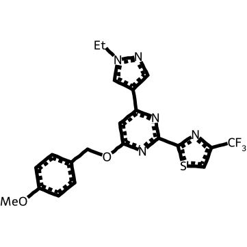 CCn1cc(-c2cc(OCc3ccc(OC)cc3)nc(-c3nc(C(F)(F)F)cs3)n2)cn1